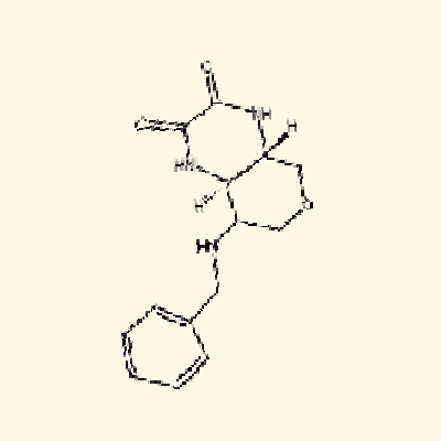 O=C1N[C@@H]2C(NCc3ccccc3)COC[C@H]2NC1=O